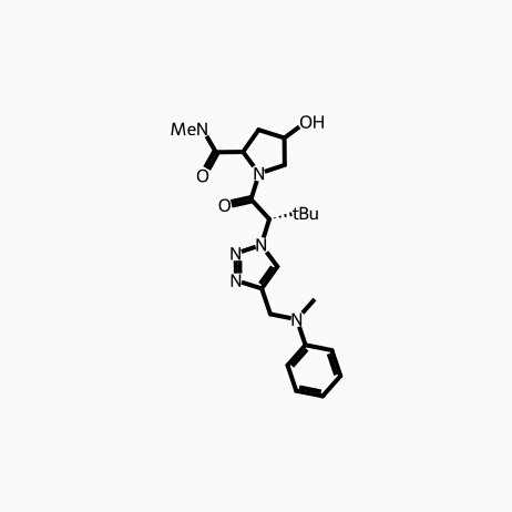 CNC(=O)C1CC(O)CN1C(=O)[C@@H](n1cc(CN(C)c2ccccc2)nn1)C(C)(C)C